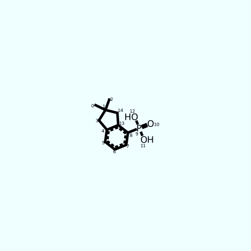 CC1(C)Cc2cccc(P(=O)(O)O)c2C1